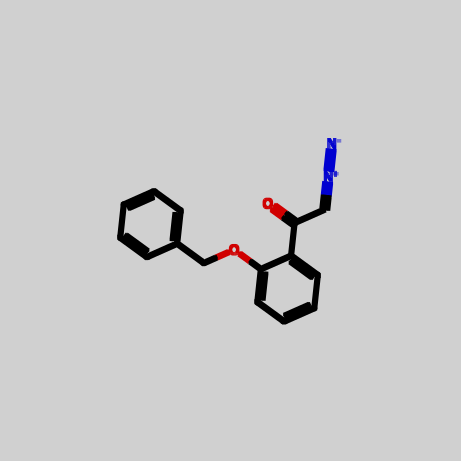 [N-]=[N+]=CC(=O)c1ccccc1OCc1ccccc1